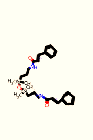 C[Si](C)(CCCNC(=O)/C=C/c1ccccc1)O[Si](C)(C)CCCNC(=O)/C=C/c1ccccc1